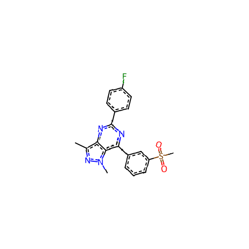 Cc1nn(C)c2c(-c3cccc(S(C)(=O)=O)c3)nc(-c3ccc(F)cc3)nc12